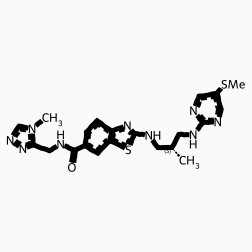 CSc1cnc(NC[C@H](C)CNc2nc3ccc(C(=O)NCc4nncn4C)cc3s2)nc1